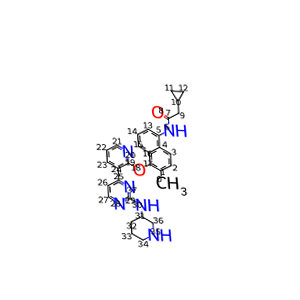 Cc1ccc2c(NC(=O)CC3CC3)cccc2c1Oc1ncccc1-c1ccnc(NC2CCCNC2)n1